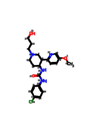 COc1ccc(C2CN(CCCO)CCC2NC(=O)Nc2ccc(Cl)cc2)nc1